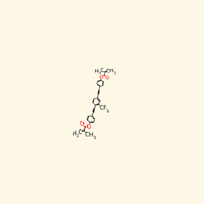 C=C(C)C(=O)Oc1ccc(C#Cc2ccc(C#Cc3ccc(OC(=O)C(=C)C)cc3)c(C(F)(F)F)c2)cc1